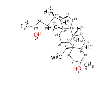 COC[C@]12CC[C@](C)(O)C[C@@H]1CC[C@H]1[C@@H]3CC[C@H]([C@H](C)CCC(O)C(F)(F)F)[C@@]3(C)CC[C@@H]12